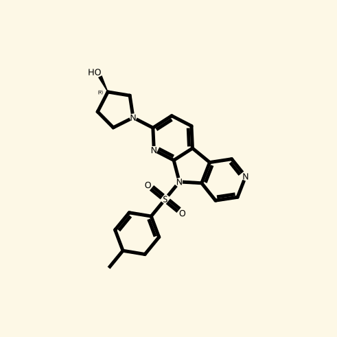 CC1C=CC(S(=O)(=O)n2c3ccncc3c3ccc(N4CC[C@@H](O)C4)nc32)=CC1